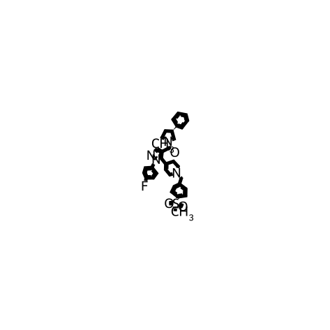 Cc1nn(-c2ccc(F)cc2)c(C2=CCN(Cc3ccc(S(C)(=O)=O)cc3)CC2)c1C(=O)N1CC[C@H](c2ccccc2)C1